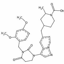 COc1ccc(CN2C(=O)CCN(c3cnn4ccc(CC5CCN(C(=O)O)C(C)C5)cc34)C2=O)c(OC)c1